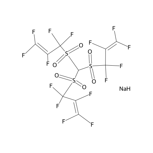 O=S(=O)(C(S(=O)(=O)C(F)(F)C(F)=C(F)F)S(=O)(=O)C(F)(F)C(F)=C(F)F)C(F)(F)C(F)=C(F)F.[NaH]